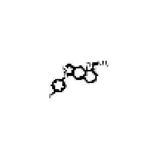 C=CC1=CCCC2=Cc3c(cnn3-c3ccc(F)cc3)C[C@]12C